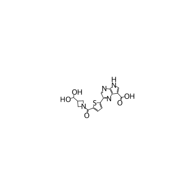 O=C(O)c1c[nH]c2ncc(-c3ccc(C(=O)N4CC(C(O)O)C4)s3)nc12